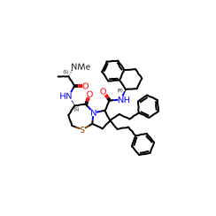 CN[C@@H](C)C(=O)N[C@H]1CCSC2CC(CCc3ccccc3)(CCc3ccccc3)C(C(=O)N[C@@H]3CCCc4ccccc43)N2C1=O